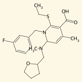 CCSC1=C(C(=O)O)C(C)=CC(N(C)CC2CCCO2)N1Cc1cccc(F)c1